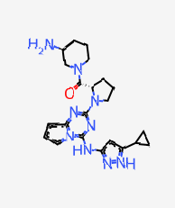 N[C@H]1CCCN(C(=O)[C@@H]2CCCN2c2nc(Nc3cc(C4CC4)[nH]n3)n3cccc3n2)C1